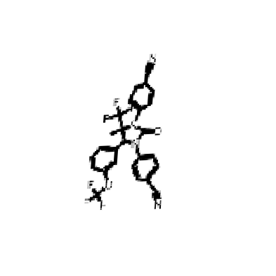 CC1(C(F)(F)F)C(c2cccc(OC(F)(F)F)c2)N(c2ccc(C#N)cc2)C(=O)N1c1ccc(C#N)cc1